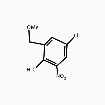 COCc1cc(Cl)cc([N+](=O)[O-])c1C